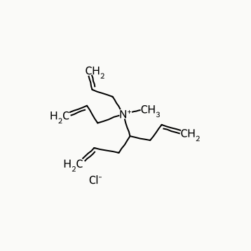 C=CCC(CC=C)[N+](C)(CC=C)CC=C.[Cl-]